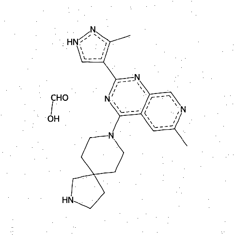 Cc1cc2c(N3CCC4(CCNC4)CC3)nc(-c3c[nH]nc3C)nc2cn1.O=CO